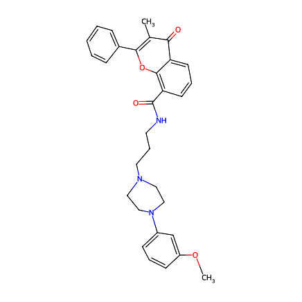 COc1cccc(N2CCN(CCCNC(=O)c3cccc4c(=O)c(C)c(-c5ccccc5)oc34)CC2)c1